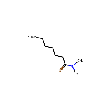 CCCCCCCCCCCC(=S)N(C)CC